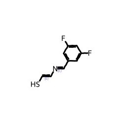 Fc1cc(F)cc(/C=N/C=C/S)c1